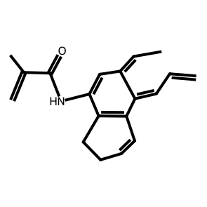 C=C/C=c1/c2c(c(NC(=O)C(=C)C)c/c1=C/C)CCC=C2